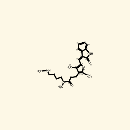 CNCCCCN(C)C(=O)CCc1c(C)[nH]c(C=C2C(=O)Nc3ccccc32)c1C